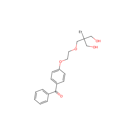 CCC(CO)(CO)COCCOc1ccc(C(=O)c2ccccc2)cc1